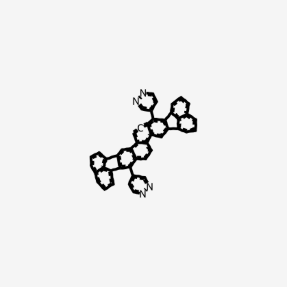 c1cc2c3c(cccc3c1)-c1c-2cc2c(ccc3c4cc5c(c(-c6ccnnc6)c4ccc23)-c2cccc3cccc-5c23)c1-c1ccnnc1